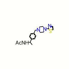 CC(=O)NC(C)c1ccc(CN2CCN(c3nccs3)CC2)cc1